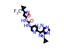 Nc1ncnc2c1c(-c1ccc(NC(=O)Nc3cc(C4(C(F)(F)F)CC4)no3)cn1)nn2C1CC1